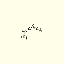 O=C(OCc1ccc(C(F)(F)F)cc1)N1CCN(C2CCN(C(=O)c3ccc4[nH]c(=S)[nH]c4c3)CC2)CC1